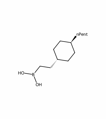 CCCCC[C@H]1CC[C@H](CCB(O)O)CC1